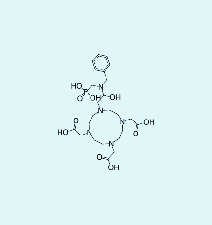 O=C(O)CN1CCN(CC(=O)O)CCN(CC(O)N(Cc2ccccc2)CP(=O)(O)O)CCN(CC(=O)O)CC1